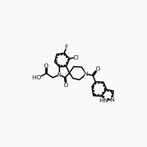 O=C(O)CN1C(=O)C2(CCN(C(=O)c3ccc4[nH]ncc4c3)CC2)c2c1ccc(F)c2Cl